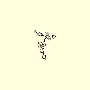 COc1ccc(-c2[nH]c(-c3ccccc3)nc2CCNS(=O)(=O)N2CCN(c3ccncc3)CC2)cc1